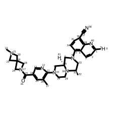 [2H]c1ccc2c(N3C[C@@H]4CN(c5ncc(C(=O)N6CC7(CN(C)C7)C6)cc5C)CCN4[C@H](C)C3)ccc(C#N)c2n1